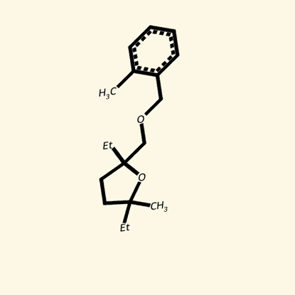 CCC1(C)CCC(CC)(COCc2ccccc2C)O1